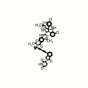 COc1cc(C(=O)N(C(C)C)C2(C#CC#Cc3cccc4c3CN(C3CCC(=O)NC3=O)C4=O)CC2)ccc1NC(=O)[C@@H]1N[C@@H](CC(C)(C)C)[C@@]2(CNc3cc(Cl)ccc32)[C@H]1c1cccc(Cl)c1F